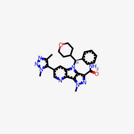 Cc1nnn(C)c1-c1cnc2c3c(c(C(N)=O)nn3C)n([C@H](c3ccccc3)C3CCOCC3)c2c1